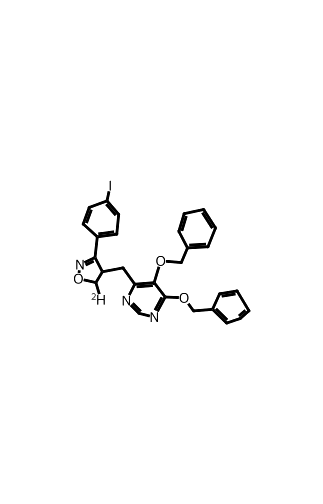 [2H]C1ON=C(c2ccc(I)cc2)C1Cc1ncnc(OCc2ccccc2)c1OCc1ccccc1